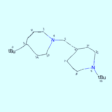 CC(C)(C)C1CCN(CC2CCN(C(C)(C)C)CC2)CC1